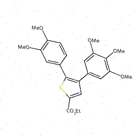 CCOC(=O)c1cc(-c2cc(OC)c(OC)c(OC)c2)c(-c2ccc(OC)c(OC)c2)s1